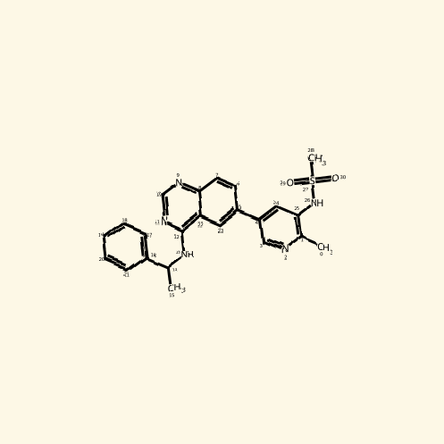 Cc1ncc(-c2ccc3ncnc(NC(C)c4ccccc4)c3c2)cc1NS(C)(=O)=O